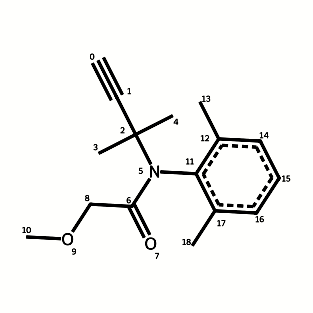 C#CC(C)(C)N(C(=O)COC)c1c(C)cccc1C